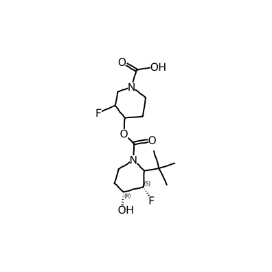 CC(C)(C)C1[C@H](F)[C@H](O)CCN1C(=O)OC1CCN(C(=O)O)CC1F